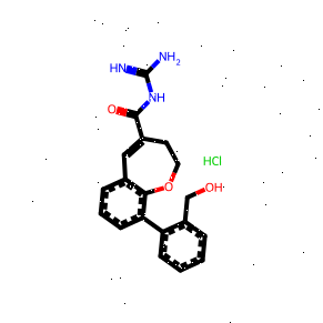 Cl.N=C(N)NC(=O)C1=Cc2cccc(-c3ccccc3CO)c2OCC1